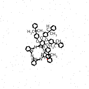 CC(C)(c1ccccc1)c1ccc(Oc2c(Oc3ccc(C(C)(C)c4ccccc4)cc3)c(Oc3ccc(C(C)(C)c4ccccc4)cc3)c3c4nc5nc(nc6[nH]c(nc7nc(nc([nH]4)c3c2Oc2ccc(C(C)(C)c3ccccc3)cc2)-c2ccccc2-7)c2ccccc62)-c2ccccc2-5)cc1